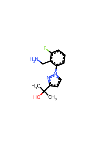 CC(C)(O)c1ccn(-c2cccc(F)c2CN)n1